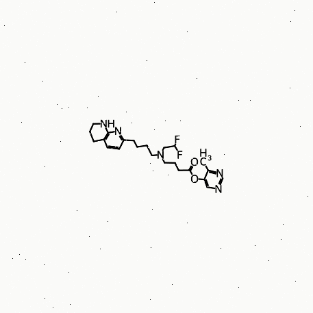 Cc1ncncc1OC(=O)CCCN(CCCCc1ccc2c(n1)NCCC2)CC(F)F